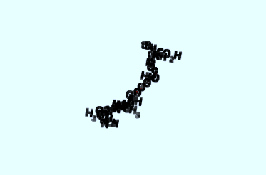 C[C@@H]1CN(c2ncc(-c3ccc4c(n3)N(Cc3cccnc3C#N)C(C)(C)C4=O)cn2)CCN1C(=O)CNC(=O)CCOCCOCCOCCNC(=O)c1cccc(Oc2ccc(C(=O)N[C@@H](CCC(C)(C)C)C(=O)O)cn2)c1